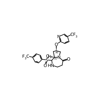 O=C1CCNC(S(=O)(=O)c2ccc(C(F)(F)F)cc2)[C@@H]2C[C@@H](Oc3ccc(C(F)(F)F)cn3)CN12